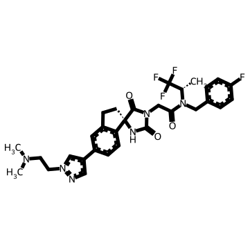 C[C@H](N(Cc1ccc(F)cc1)C(=O)CN1C(=O)N[C@]2(CCc3cc(-c4cnn(CCN(C)C)c4)ccc32)C1=O)C(F)(F)F